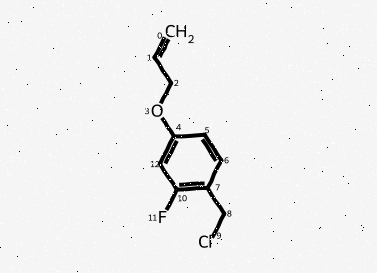 C=CCOc1ccc(CCl)c(F)c1